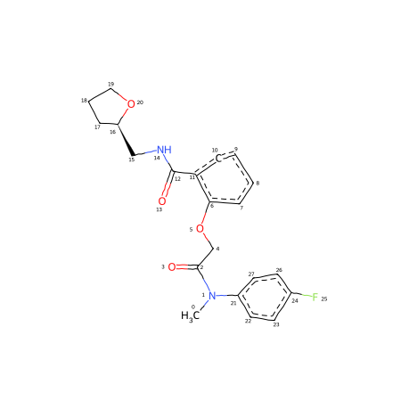 CN(C(=O)COc1ccccc1C(=O)NC[C@H]1CCCO1)c1ccc(F)cc1